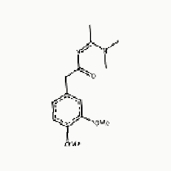 COc1ccc(CC(=O)/N=C(/C)N(C)C)cc1OC